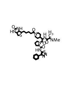 CN[C@@H](C)C(=O)N[C@@H](C(=O)N1CCC[C@H]1C(=O)Nc1snnc1-c1ccccc1)C1CCN(C(=O)CCCCC2SCC3NC(=O)NC32)CC1